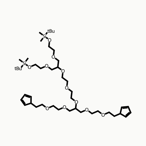 CC(C)(C)[Si](C)(C)OCCOCC(COCCO[Si](C)(C)C(C)(C)C)OCCOCCOC(COCCOCCC1C=CC=C1)COCCOCCC1C=CC=C1